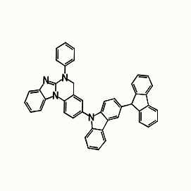 c1ccc(N2Cc3cc(-n4c5ccccc5c5cc(C6c7ccccc7-c7ccccc76)ccc54)ccc3-n3c2nc2ccccc23)cc1